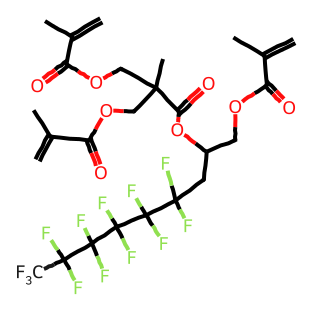 C=C(C)C(=O)OCC(CC(F)(F)C(F)(F)C(F)(F)C(F)(F)C(F)(F)C(F)(F)F)OC(=O)C(C)(COC(=O)C(=C)C)COC(=O)C(=C)C